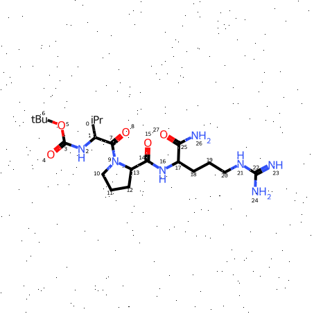 CC(C)C(NC(=O)OC(C)(C)C)C(=O)N1CCCC1C(=O)NC(CCCNC(=N)N)C(N)=O